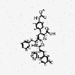 COC(=O)Nc1ccc(-c2cc(C(Cc3ccccc3)NC(=O)C=Cc3cc(Cl)ccc3-n3cnnn3)nnc2C(=O)O)cc1